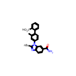 CCCCc1nc2ccc(C(N)=O)cc2n1-c1ccc(-c2ccccc2C(=O)O)c(C)c1